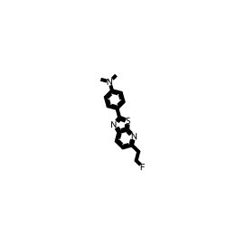 CN(C)c1ccc(-c2nc3ccc(CCF)nc3s2)cc1